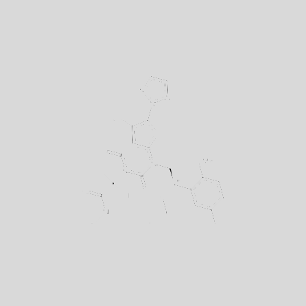 COc1ccc(F)cc1[C@H](Cn1c(=O)n(C(C)(C)C(=O)NC(C)C)c(=O)c2c(C)c(-n3nccn3)sc21)OCC(C)=O